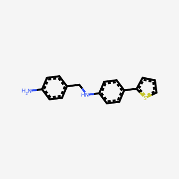 Nc1ccc(CNc2ccc(-c3cccs3)cc2)cc1